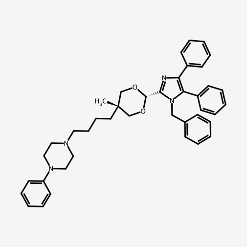 C[C@]1(CCCCN2CCN(c3ccccc3)CC2)CO[C@@H](c2nc(-c3ccccc3)c(-c3ccccc3)n2Cc2ccccc2)OC1